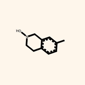 Cc1ccc2c(c1)CN(O)CC2